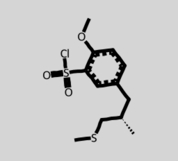 COc1ccc(C[C@H](C)CSC)cc1S(=O)(=O)Cl